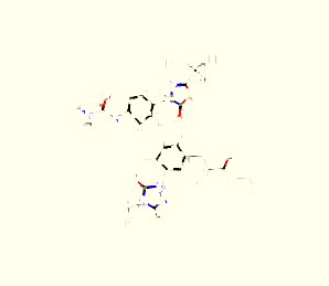 CCOC(=O)C(Cl)Cc1cc(-n2nc(C)n(C(F)F)c2=O)c(F)cc1Cl.CN(C)C(=O)Nc1ccc(-n2nc(C(C)(C)C)oc2=O)c(Cl)c1